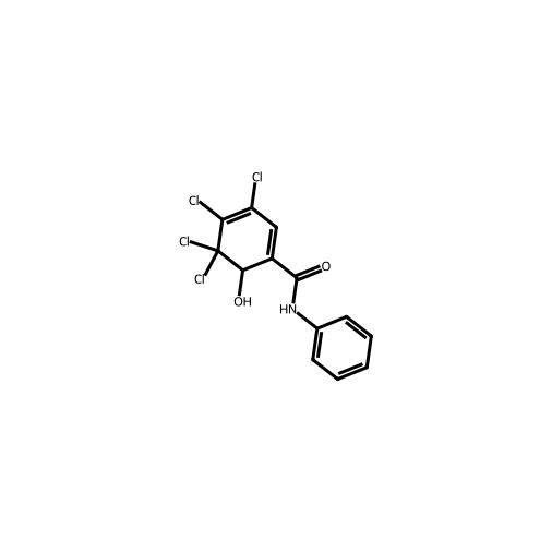 O=C(Nc1ccccc1)C1=CC(Cl)=C(Cl)C(Cl)(Cl)C1O